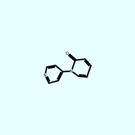 O=c1cc[c]cn1-c1ccncc1